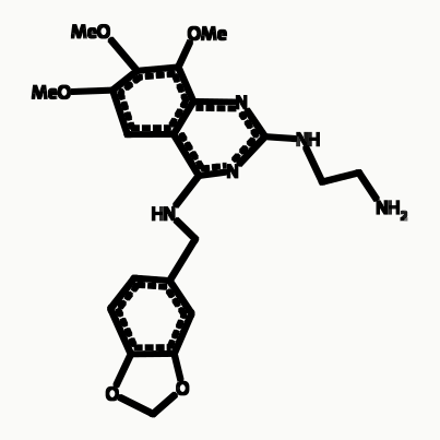 COc1cc2c(NCc3ccc4c(c3)OCO4)nc(NCCN)nc2c(OC)c1OC